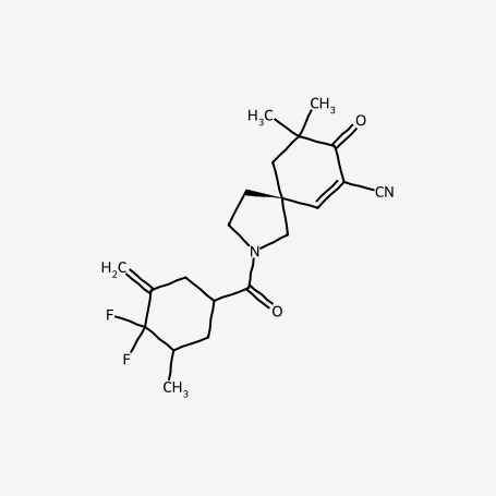 C=C1CC(C(=O)N2CC[C@@]3(C=C(C#N)C(=O)C(C)(C)C3)C2)CC(C)C1(F)F